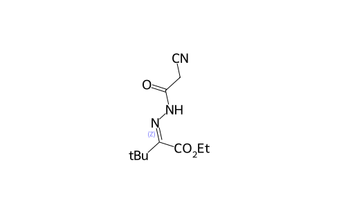 CCOC(=O)/C(=N\NC(=O)CC#N)C(C)(C)C